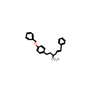 O=C(O)C(CC=Cc1ccccc1)CCc1ccc(OCc2ccccc2)cc1